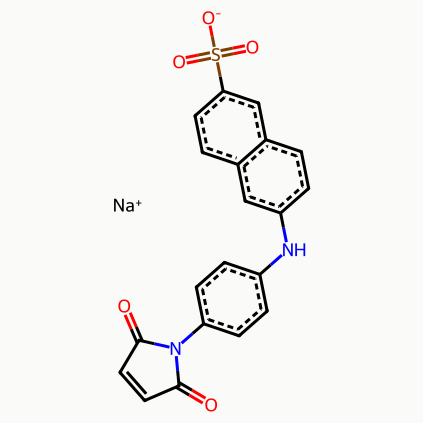 O=C1C=CC(=O)N1c1ccc(Nc2ccc3cc(S(=O)(=O)[O-])ccc3c2)cc1.[Na+]